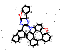 c1ccc2cc(-c3nc4oc5ccccc5c4nc3-n3c4ccc5cccc6c5c4c4c5c(ccc43)oc3cccc-6c35)ccc2c1